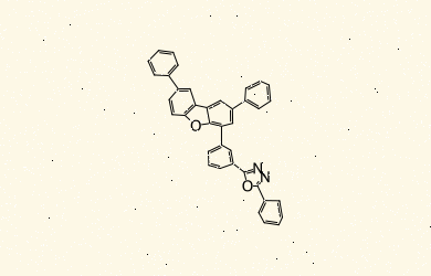 c1ccc(-c2ccc3oc4c(-c5cccc(-c6nnc(-c7ccccc7)o6)c5)cc(-c5ccccc5)cc4c3c2)cc1